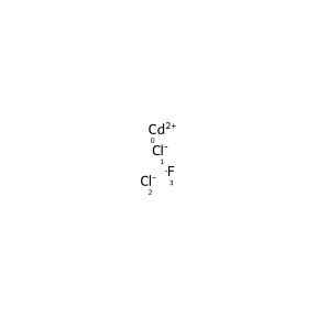 [Cd+2].[Cl-].[Cl-].[F]